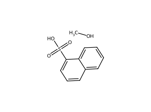 CO.O=S(=O)(O)c1cccc2ccccc12